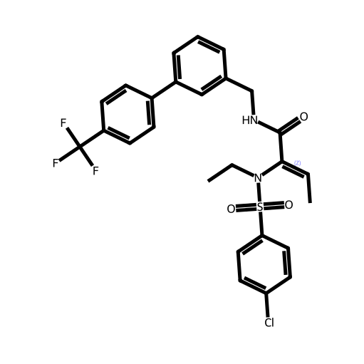 C/C=C(/C(=O)NCc1cccc(-c2ccc(C(F)(F)F)cc2)c1)N(CC)S(=O)(=O)c1ccc(Cl)cc1